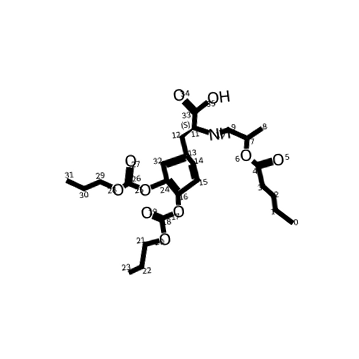 CCCCC(=O)OC(C)CN[C@@H](Cc1ccc(OC(=O)OCCC)c(OC(=O)OCCC)c1)C(=O)O